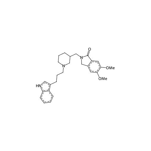 COc1cc2c(cc1OC)C(=O)N(CC1CCCN(CCCc3c[nH]c4ccccc34)C1)C2